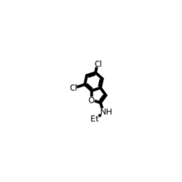 CCNc1cc2cc(Cl)cc(Cl)c2o1